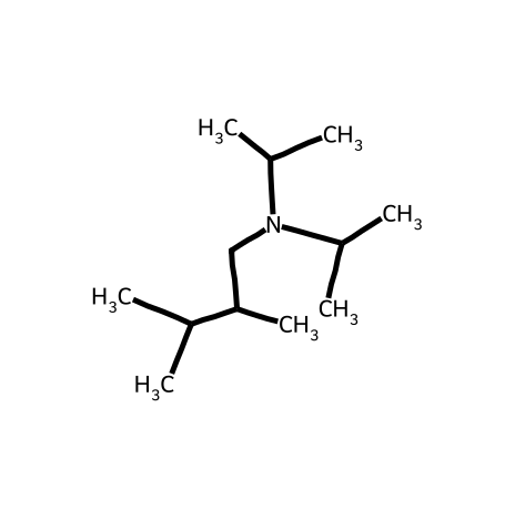 CC(C)C(C)CN(C(C)C)C(C)C